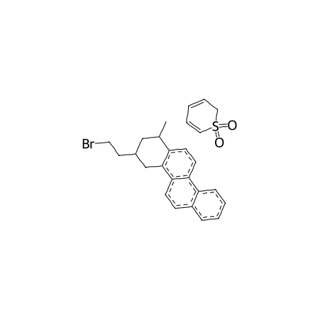 CC1CC(CCBr)Cc2c1ccc1c2ccc2ccccc21.O=S1(=O)C=CC=CC1